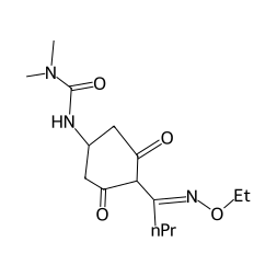 CCCC(=NOCC)C1C(=O)CC(NC(=O)N(C)C)CC1=O